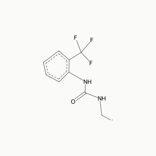 [CH2]CNC(=O)Nc1ccccc1C(F)(F)F